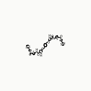 O=C(Nc1ccc(C(=O)N2CC(c3nccs3)C2)s1)[C@@H]1C[C@@H](OCc2ccc(CO[C@H]3CN[C@H](C(=O)Nc4ccc(C(=O)N5CC(c6nccs6)C5)s4)C3)cc2)CN1